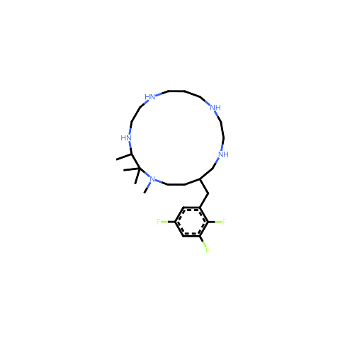 CC1NCCNCCCNCCNCC(Cc2cc(F)cc(F)c2F)CCN(C)C1(C)C